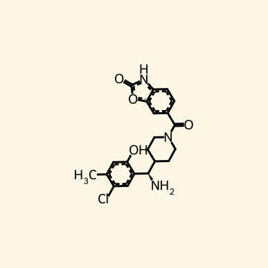 Cc1cc(O)c([C@H](N)C2CCN(C(=O)c3ccc4[nH]c(=O)oc4c3)CC2)cc1Cl